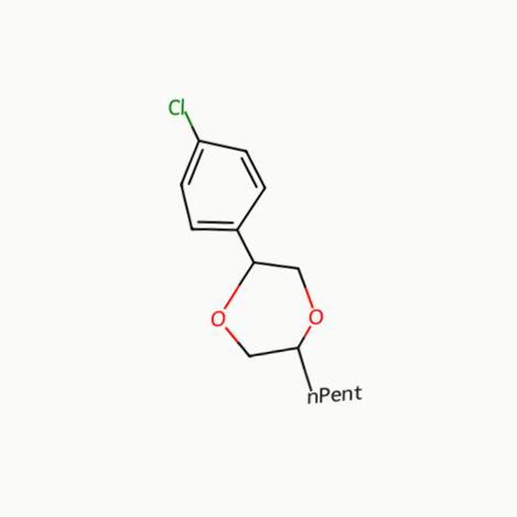 CCCCCC1COC(c2ccc(Cl)cc2)CO1